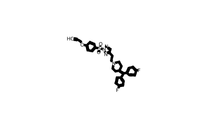 C#CCOc1ccc(S(=O)(=O)n2ncc(CCN3CCC(=C(c4ccc(F)cc4)c4ccc(F)cc4)CC3)n2)cc1